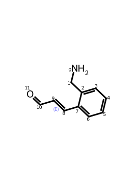 NCc1ccccc1/C=C/[C]=O